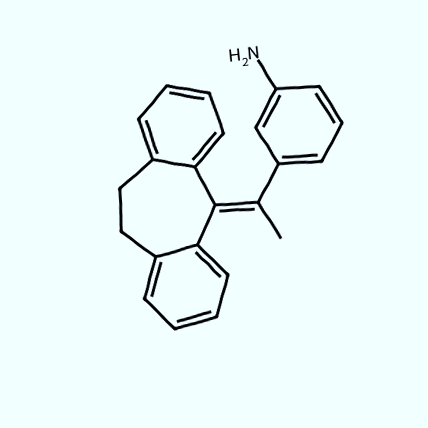 CC(=C1c2ccccc2CCc2ccccc21)c1cccc(N)c1